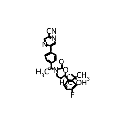 C[C@@H](c1ccc(-c2cnc(C#N)cn2)cc1)N1CC[C@](CC(C)(C)O)(c2ccc(F)cc2)OC1=O